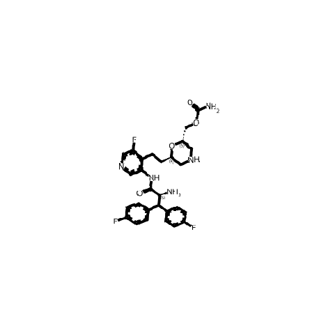 NC(=O)OC[C@@H]1CNC[C@@H](CCc2c(F)cncc2NC(=O)[C@@H](N)C(c2ccc(F)cc2)c2ccc(F)cc2)O1